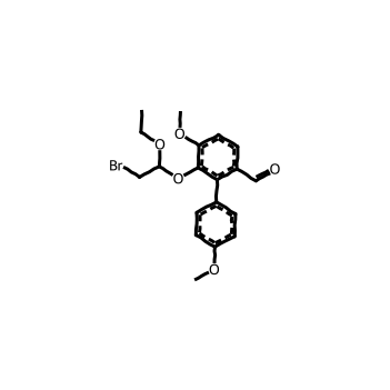 CCOC(CBr)Oc1c(OC)ccc(C=O)c1-c1ccc(OC)cc1